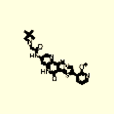 COc1ncccc1-c1cn2nc3c4ncc(NC(=O)CN5CC(C)(C)C5)cc4[nH]c(=O)c3c2s1